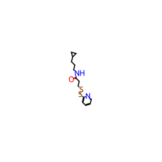 O=C(CCSSc1ccccn1)NCCCC1CC1